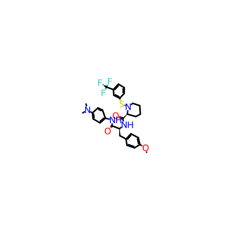 COc1ccc(C[C@H](NC(=O)[C@@H]2CCCCN2Sc2cccc(C(F)(F)F)c2)C(=O)Nc2ccc(N(C)C)cc2)cc1